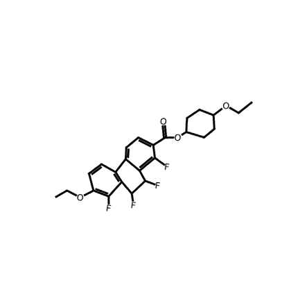 CCOc1ccc2c(c1F)C(F)C(F)c1c-2ccc(C(=O)OC2CCC(OCC)CC2)c1F